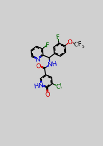 O=C(NC(c1ccc(OC(F)(F)F)c(F)c1)c1ncccc1F)c1c[nH]c(=O)c(Cl)c1